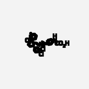 Cc1cccc(N2C(=O)CC[C@@H](c3ccc(Cl)c(Cl)c3)C2CCN2CC(N3CCC(NC(=O)O)CC3)C2)n1